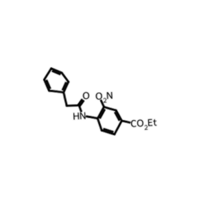 CCOC(=O)c1ccc(NC(=O)Cc2ccccc2)c([N+](=O)[O-])c1